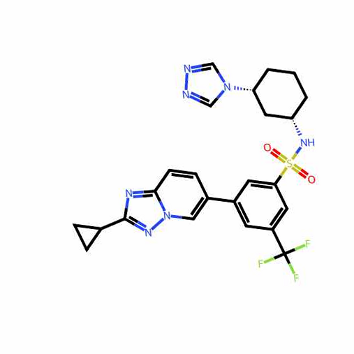 O=S(=O)(N[C@H]1CCC[C@@H](n2cnnc2)C1)c1cc(-c2ccc3nc(C4CC4)nn3c2)cc(C(F)(F)F)c1